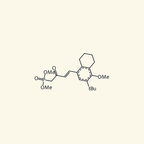 COc1c(C(C)(C)C)cc(C=CC(=O)CP(=O)(OC)OC)c2c1CCCC2